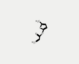 C=CC(=O)Oc1ccc(C)s1